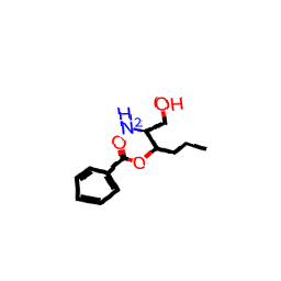 CCCC(OC(=O)c1ccccc1)[C@@H](N)CO